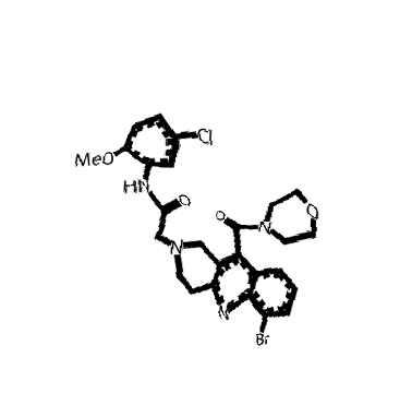 COc1ccc(Cl)cc1NC(=O)CN1CCc2nc3c(Br)cccc3c(C(=O)N3CCOCC3)c2C1